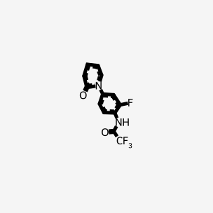 O=C(Nc1ccc(-n2ccccc2=O)cc1F)C(F)(F)F